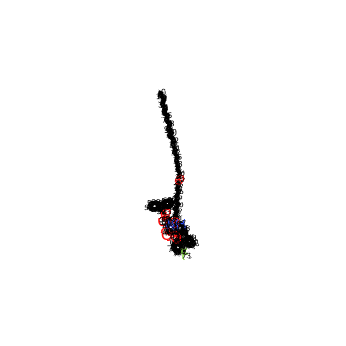 CCCCCCCCCCCCCCCCCCCCCCOCCCCCCCCCCCCOc1ccc2c(c1)C(OCC(=O)[C@H](C)NCC(=O)OCC1c3ccccc3-c3ccccc31)(c1cccc(F)c1)c1ccccc1-2